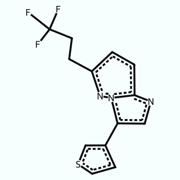 FC(F)(F)CCc1ccc2ncc(-c3ccsc3)n2n1